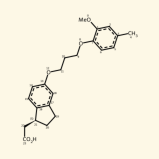 COc1cc(C)ccc1OCCCOc1ccc2c(c1)CC[C@H]2CC(=O)O